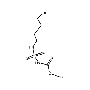 CC(C)(C)OC(=O)NS(=O)(=O)NCCCCO